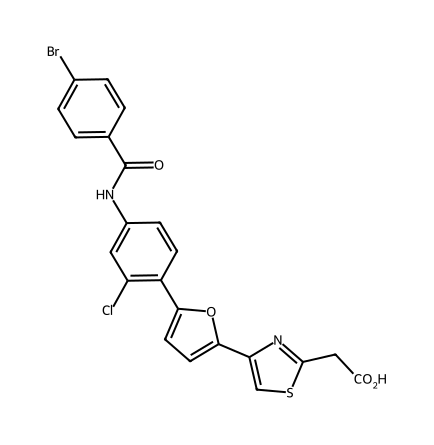 O=C(O)Cc1nc(-c2ccc(-c3ccc(NC(=O)c4ccc(Br)cc4)cc3Cl)o2)cs1